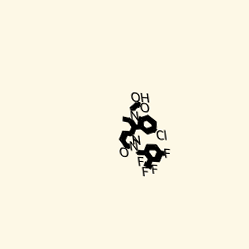 Cc1c(-c2ccc(=O)n(Cc3ccc(F)cc3C(F)(F)F)n2)c2cc(Cl)ccc2n1CC(=O)O